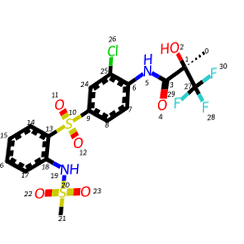 C[C@@](O)(C(=O)Nc1ccc(S(=O)(=O)c2ccccc2NS(C)(=O)=O)cc1Cl)C(F)(F)F